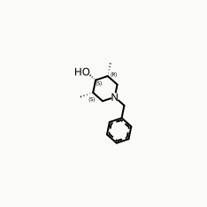 C[C@@H]1CN(Cc2ccccc2)C[C@H](C)[C@@H]1O